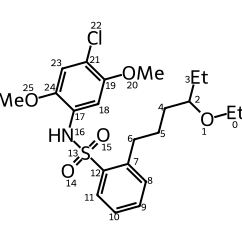 CCOC(CC)CCCc1ccccc1S(=O)(=O)Nc1cc(OC)c(Cl)cc1OC